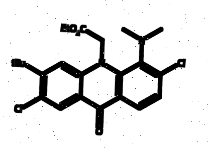 CCOC(=O)Cn1c2cc(C(C)(C)C)c(Cl)cc2c(=O)c2ccc(Cl)c(N(C)C)c21